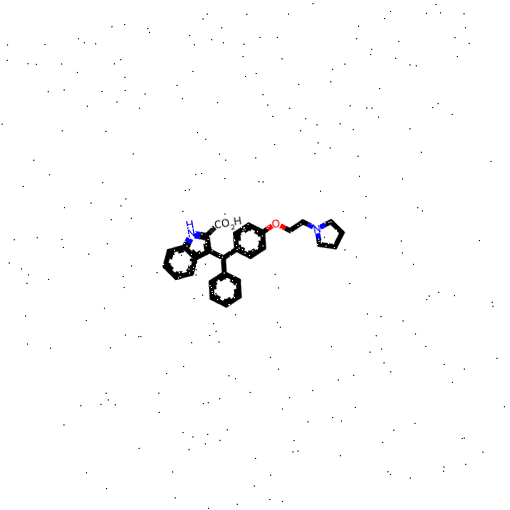 O=C(O)c1[nH]c2ccccc2c1C(c1ccccc1)c1ccc(OCCN2CCCC2)cc1